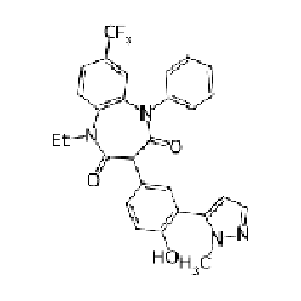 CCN1C(=O)C(c2ccc(O)c(-c3ccnn3C)c2)C(=O)N(c2ccccc2)c2cc(C(F)(F)F)ccc21